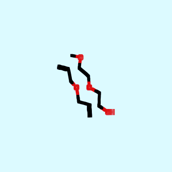 C=CCOCC=C.COCCOCCO